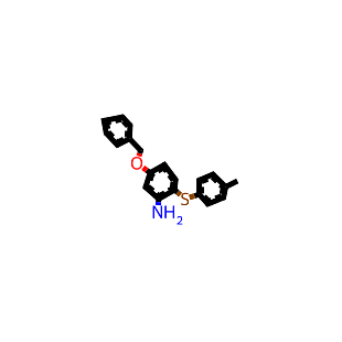 Cc1ccc(Sc2ccc(OCc3ccccc3)cc2N)cc1